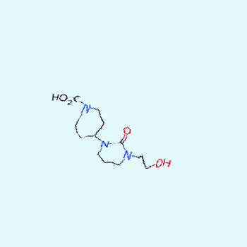 O=C(O)N1CCC(N2CCCN(CCO)C2=O)CC1